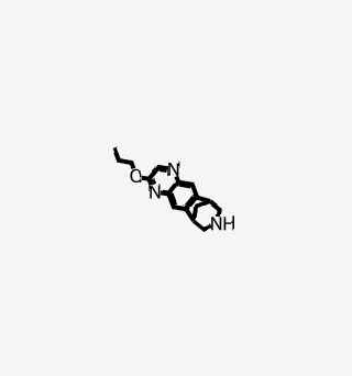 CCCOc1cnc2cc3c(cc2n1)C1CNCC3C1